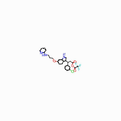 O=C(CC(c1cccc(Cl)c1)c1c[nH]c2cc(OCCCNc3ccccn3)ccc12)OC(=O)C(F)(F)F